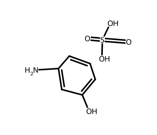 Nc1cccc(O)c1.O=S(=O)(O)O